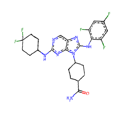 NC(=O)C1CCC(n2c(Nc3c(F)cc(F)cc3F)nc3cnc(NC4CCC(F)(F)CC4)nc32)CC1